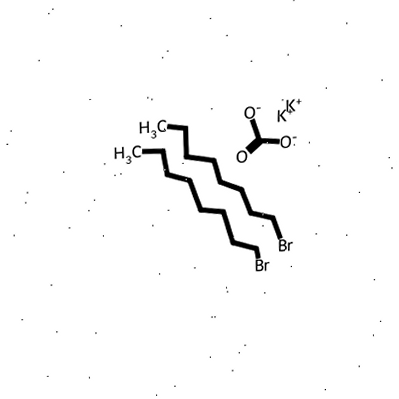 CCCCCCCCBr.CCCCCCCCBr.O=C([O-])[O-].[K+].[K+]